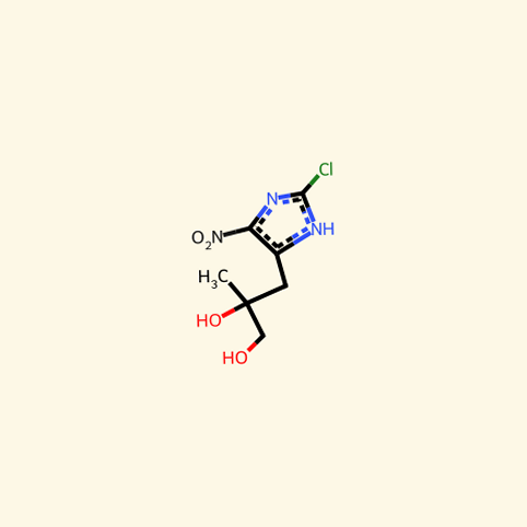 CC(O)(CO)Cc1[nH]c(Cl)nc1[N+](=O)[O-]